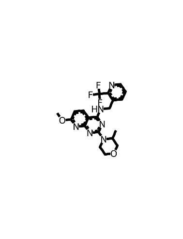 COc1ccc2c(NCc3cccnc3C(F)(F)F)nc(N3CCOCC3C)nc2n1